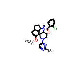 CC(C)(C)c1nccc(N2CCC([N+](C)(C(=O)c3ccccc3Cl)C3CCc4ccc(OC(=O)O)cc43)CC2)n1